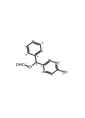 CCc1cnc(C(OC=O)c2ccccc2)cn1